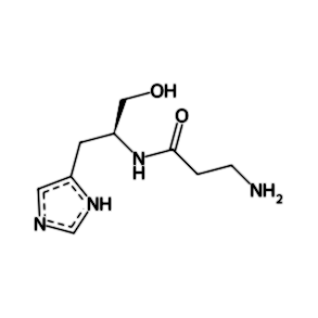 NCCC(=O)N[C@H](CO)Cc1cnc[nH]1